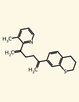 C=C(CCC(=C)c1ncccc1C)c1ccc2c(c1)SCCC2